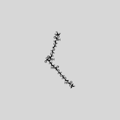 CC(C)(C)OC(=O)NCCOCCOCCOCC(=O)NCCCC[C@H](NC(=O)COCCOCCOCCNC(=O)OC(C)(C)C)C(=O)O